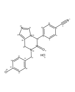 Cl.N#Cc1ccc(C2C(=O)N(Cc3ccc(Cl)cc3)Cc3cncn32)cc1